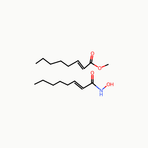 CCCCC/C=C/C(=O)NO.CCCCC/C=C/C(=O)OC